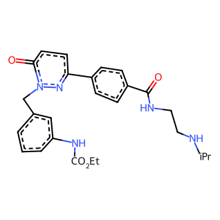 CCOC(=O)Nc1cccc(Cn2nc(-c3ccc(C(=O)NCCNC(C)C)cc3)ccc2=O)c1